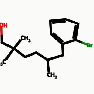 CC(CCC(C)(C)CO)Cc1ccccc1Br